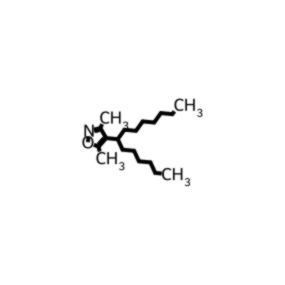 CCCCCCCC(CCCCCC)c1c(C)noc1C